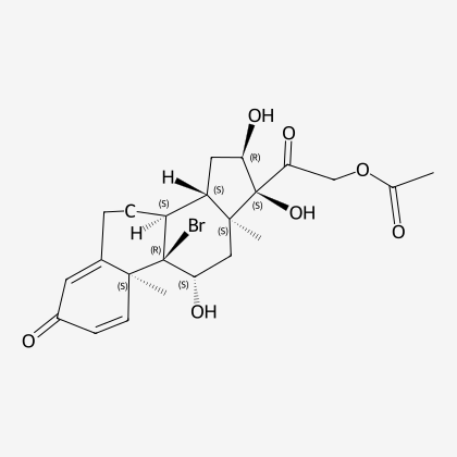 CC(=O)OCC(=O)[C@@]1(O)[C@H](O)C[C@H]2[C@@H]3CCC4=CC(=O)C=C[C@]4(C)[C@@]3(Br)[C@@H](O)C[C@@]21C